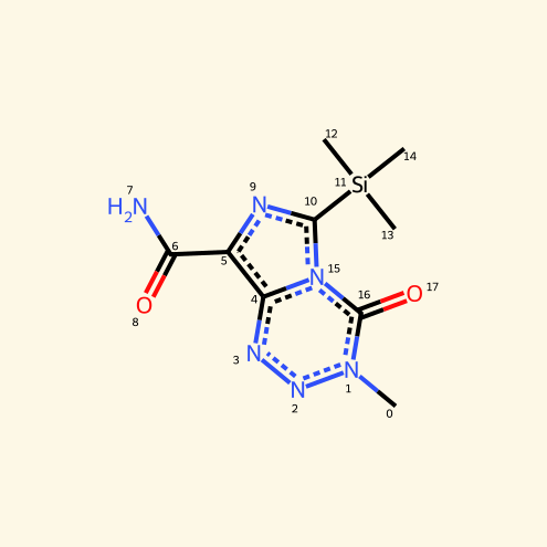 Cn1nnc2c(C(N)=O)nc([Si](C)(C)C)n2c1=O